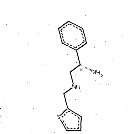 N[C@H](CNCc1cccs1)c1ccccc1